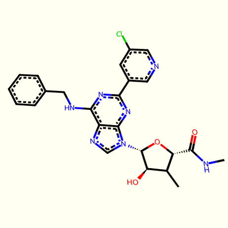 CNC(=O)[C@H]1O[C@@H](n2cnc3c(NCc4ccccc4)nc(-c4cncc(Cl)c4)nc32)[C@H](O)C1C